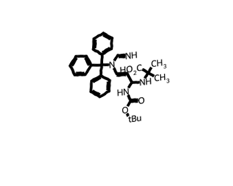 CC(C)(C)OC(=O)NC(/C=C/N(C=N)C(c1ccccc1)(c1ccccc1)c1ccccc1)NC(C)(C)C(=O)O